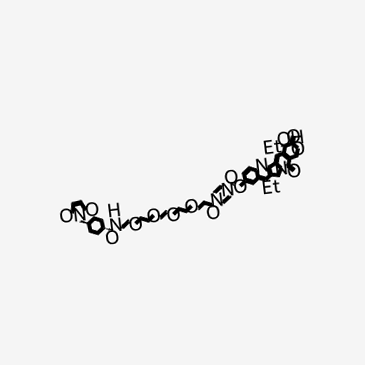 CCc1c2c(nc3ccc(OC(=O)N4CCN(C(=O)CCOCCOCCOCCOCCNC(=O)[C@H]5CC[C@H](CN6C(=O)C=CC6=O)CC5)CC4)cc13)-c1cc3c(c(=O)n1C2)COC(=O)[C@]3(O)CC